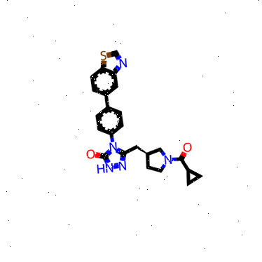 O=C(C1CC1)N1CC[C@@H](Cc2n[nH]c(=O)n2-c2ccc(-c3ccc4scnc4c3)cc2)C1